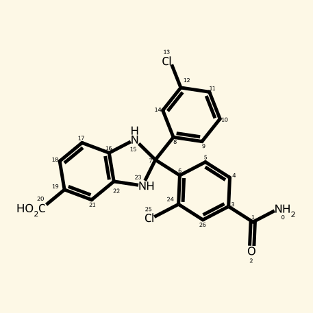 NC(=O)c1ccc(C2(c3cccc(Cl)c3)Nc3ccc(C(=O)O)cc3N2)c(Cl)c1